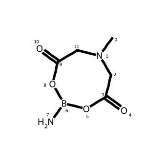 CN1CC(=O)OB(N)OC(=O)C1